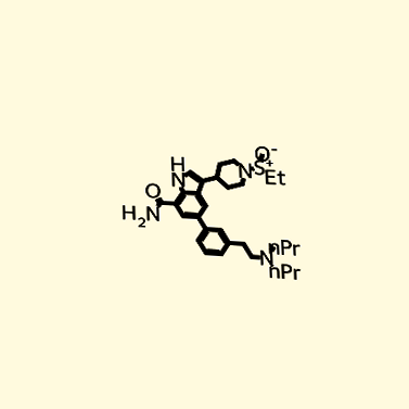 CCCN(CCC)CCc1cccc(-c2cc(C(N)=O)c3[nH]cc(C4CCN([S+]([O-])CC)CC4)c3c2)c1